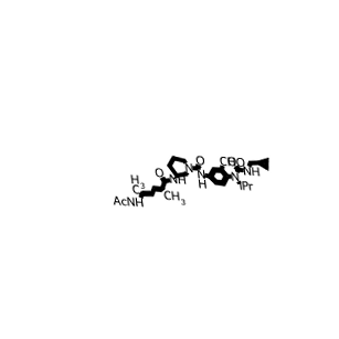 CC(=O)N/C(C)=C/C=C(\C)C(=O)N[C@@H]1CCCN(C(=O)Nc2ccc(N(C(=O)NCC3CC3)C(C)C)c(C=O)c2)C1